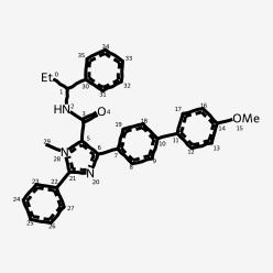 CCC(NC(=O)c1c(-c2ccc(-c3ccc(OC)cc3)cc2)nc(-c2ccccc2)n1C)c1ccccc1